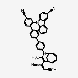 C#C/C=C(/C#N)C1=C(C)N(c2ccc(-c3ccc(-c4ccc(C#N)cc4-n4c5ccccc5c5cc(C#N)ccc54)cc3)cc2)C2C=CC=CC1C2